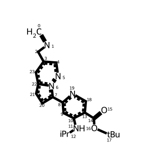 C=NCc1cnn2c(-c3cc(NC(C)C)c(C(=O)OC(C)(C)C)cn3)ccc2c1